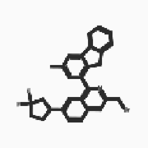 Cc1cc2c(c(-c3nc(CC(C)C)cc4ccc(C5CCC(F)(F)C5)cc34)c1)Cc1ccccc1-2